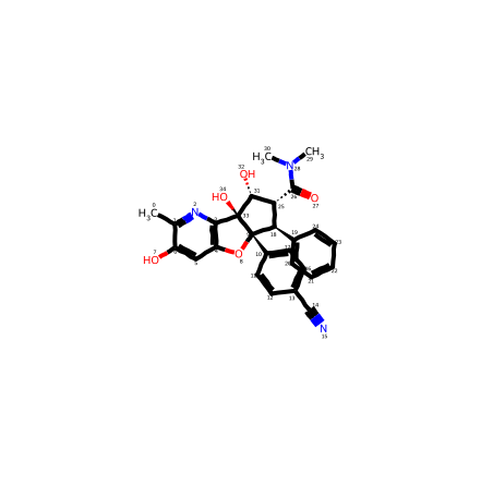 Cc1nc2c(cc1O)O[C@@]1(c3ccc(C#N)cc3)[C@H](c3ccccc3)[C@@H](C(=O)N(C)C)[C@@H](O)[C@@]21O